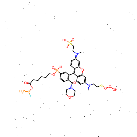 CN(CCSOOO)c1ccc2c(-c3cc(P(=O)(O)OCCCCCC(=O)OP(F)P)ccc3C(=O)N3CCOCC3)c3cc/c(=[N+](/C)CCS(=O)(=O)O)cc-3oc2c1